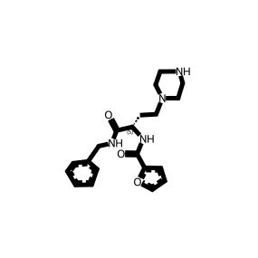 O=C(N[C@@H](CCN1CCNCC1)C(=O)NCc1ccccc1)c1ccco1